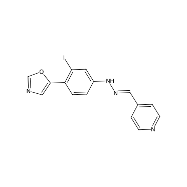 Ic1cc(NN=Cc2ccncc2)ccc1-c1cnco1